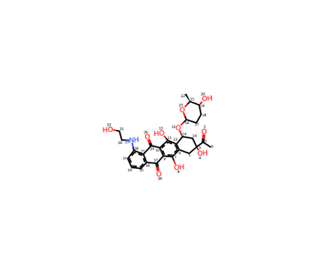 CC(=O)[C@]1(O)Cc2c(O)c3c(c(O)c2[C@@H](OC2CC[C@H](O)[C@H](C)O2)C1)C(=O)c1c(NCCO)cccc1C3=O